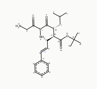 CC(C)C[C@@H](C(=O)N(N)C(=O)CN)[C@H](C/C=C/c1ccccc1)C(=O)OC(C)(C)C